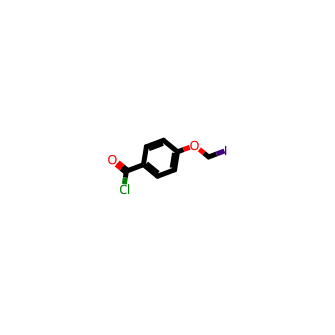 O=C(Cl)c1ccc(OCI)cc1